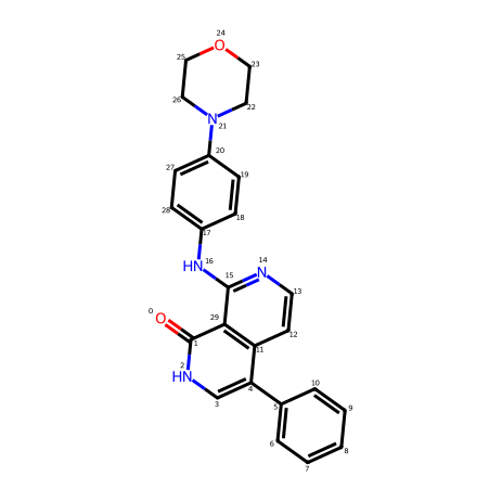 O=c1[nH]cc(-c2ccccc2)c2ccnc(Nc3ccc(N4CCOCC4)cc3)c12